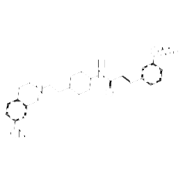 COc1cccc(/C=C/C(=O)NC2CCC(CCN3CCc4ccc(C#N)cc4C3)CC2)c1